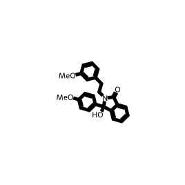 COc1ccc(C2(O)c3ccccc3C(=O)N2CCc2cccc(OC)c2)cc1